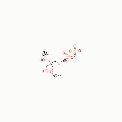 CCCCCCCCCCOCC(CO)(CO)COCCCCCCCCCC.O=S(=O)([O-])OS(=O)(=O)[O-].[Na+].[Na+]